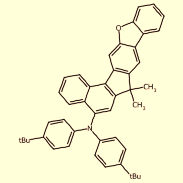 CC(C)(C)c1ccc(N(c2ccc(C(C)(C)C)cc2)c2cc3c(c4ccccc24)-c2cc4oc5ccccc5c4cc2C3(C)C)cc1